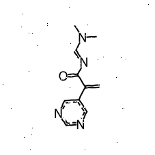 C=C(C(=O)/N=C/N(C)C)c1cncnc1